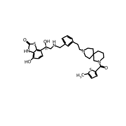 Cc1ccc(C(=O)N2CCCC3(CCN(CCc4cccc(CNC[C@H](O)c5ccc(O)c6[nH]c(=O)sc56)c4)CC3)C2)s1